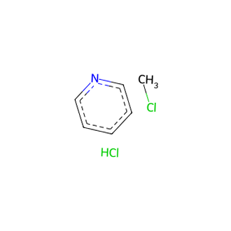 CCl.Cl.c1ccncc1